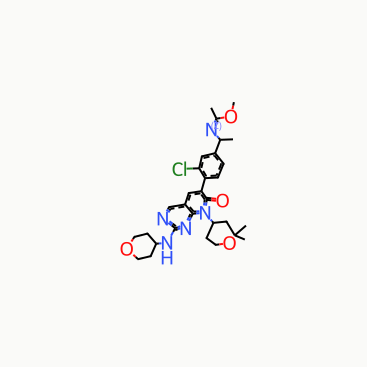 CO/C(C)=N\C(C)c1ccc(-c2cc3cnc(NC4CCOCC4)nc3n(C3CCOC(C)(C)C3)c2=O)c(Cl)c1